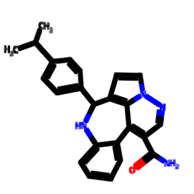 CC(C)c1ccc(C2Nc3ccccc3-c3c(C(N)=O)cnn4ccc2c34)cc1